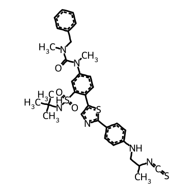 CC(CNc1ccc(-c2ncc(-c3ccc(N(C)C(=O)N(C)Cc4ccccc4)cc3S(=O)(=O)NC(C)(C)C)s2)cc1)N=C=S